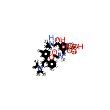 Cc1ccc(OC(=O)C[N+](C)(C)Cc2cc(C(O)CNC(C)(C)C)ccc2OP(=O)(O)O)c(C(CCN(C(C)C)C(C)C)c2ccccc2)c1